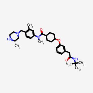 Cc1cc(N(C)C(=O)C2CCC(Oc3cccc(CC(=O)NC(C)(C)C)c3)CC2)ccc1CN1CCN[C@@H](C)C1